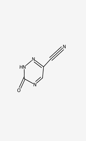 N#Cc1cnc(=O)[nH]n1